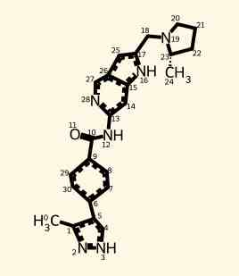 Cc1n[nH]cc1-c1ccc(C(=O)Nc2cc3[nH]c(CN4CCC[C@@H]4C)cc3cn2)cc1